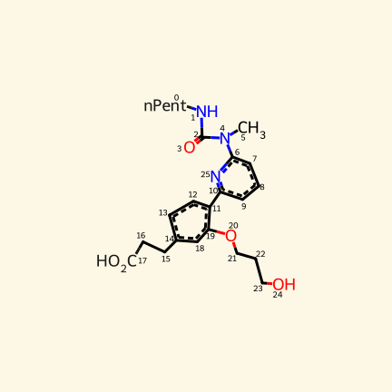 CCCCCNC(=O)N(C)c1cccc(-c2ccc(CCC(=O)O)cc2OCCCO)n1